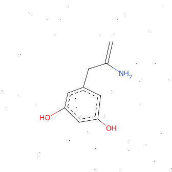 C=C(N)Cc1cc(O)cc(O)c1